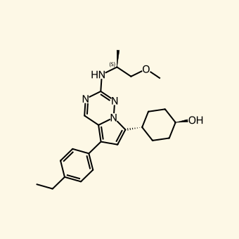 CCc1ccc(-c2cc([C@H]3CC[C@H](O)CC3)n3nc(N[C@@H](C)COC)ncc23)cc1